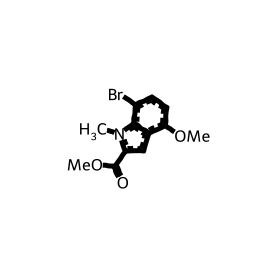 COC(=O)c1cc2c(OC)ccc(Br)c2n1C